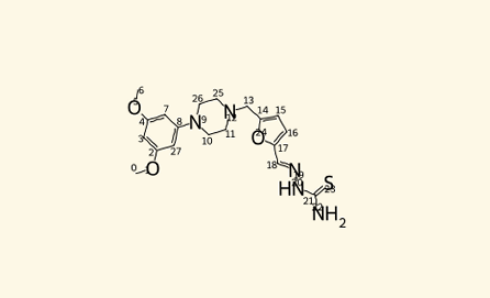 COc1cc(OC)cc(N2CCN(Cc3ccc(/C=N/NC(N)=S)o3)CC2)c1